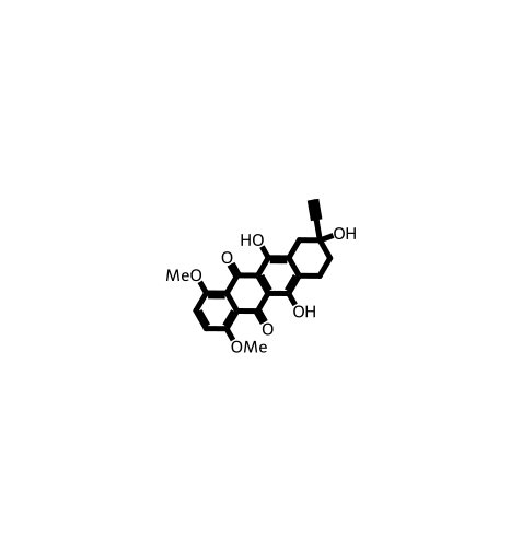 C#CC1(O)CCc2c(O)c3c(c(O)c2C1)C(=O)c1c(OC)ccc(OC)c1C3=O